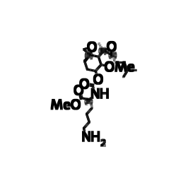 COC(=O)[C@@H](CCCCN)NC(=O)OC1CC[C@]2(CO2)C([C@@]2(C)O[C@@H]2CC=C(C)C)C1OC